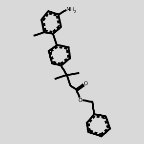 Cc1ccc(N)cc1-c1ccc(C(C)(C)CC(=O)OCc2ccccc2)cc1